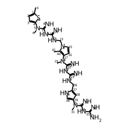 Cc1ccc(N(C)C(=N)NC(=N)NCn2ccc(N(C)C(=N)NC(=N)NCc3cc(N(C)C(=N)NC(=N)N)c[nH]3)c2C)s1